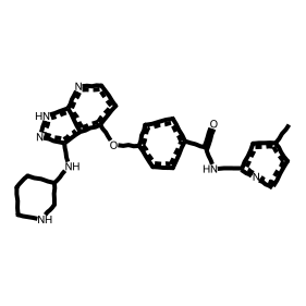 Cc1ccnc(NC(=O)c2ccc(Oc3ccnc4[nH]nc(NC5CCCNC5)c34)cc2)c1